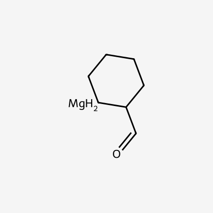 O=CC1CCCCC1.[MgH2]